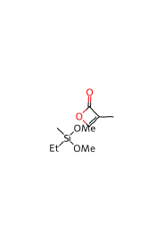 CC1=COC1=O.CC[Si](C)(OC)OC